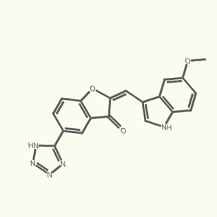 COc1ccc2[nH]cc(C=C3Oc4ccc(-c5nnn[nH]5)cc4C3=O)c2c1